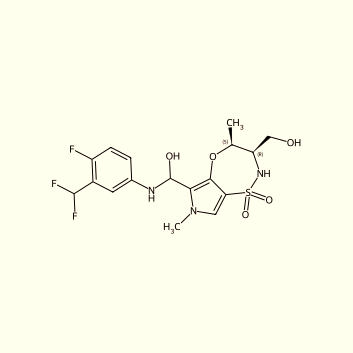 C[C@@H]1Oc2c(cn(C)c2C(O)Nc2ccc(F)c(C(F)F)c2)S(=O)(=O)N[C@@H]1CO